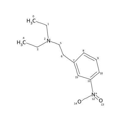 CCN(CC)CCc1cccc([N+](=O)[O-])c1